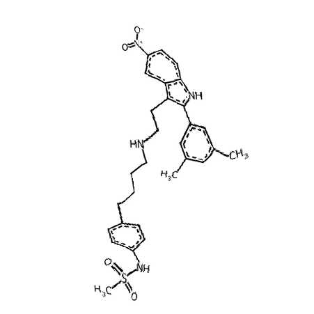 Cc1cc(C)cc(-c2[nH]c3ccc([N+](=O)[O-])cc3c2CCNCCCCc2ccc(NS(C)(=O)=O)cc2)c1